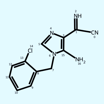 N#CC(=N)c1ncn(Cc2ccccc2Cl)c1N